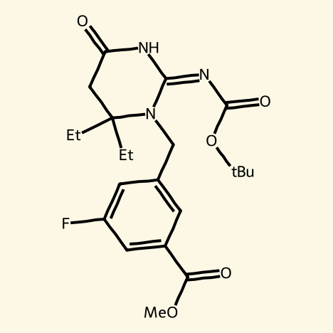 CCC1(CC)CC(=O)NC(=NC(=O)OC(C)(C)C)N1Cc1cc(F)cc(C(=O)OC)c1